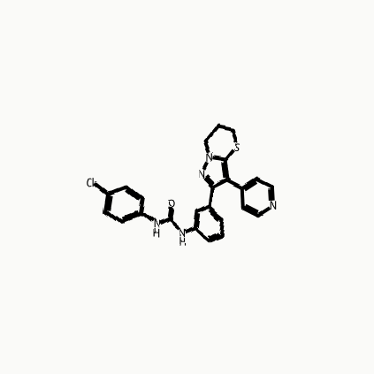 O=C(Nc1ccc(Cl)cc1)Nc1cccc(-c2nn3c(c2-c2ccncc2)SCCC3)c1